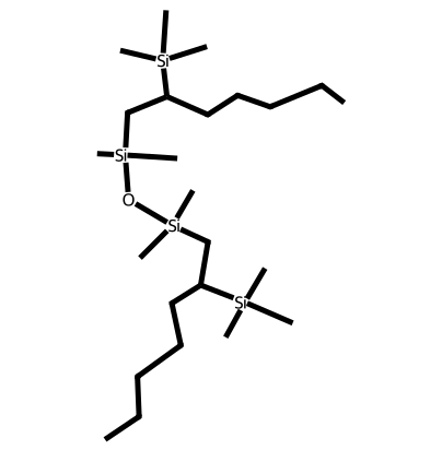 CCCCCC(C[Si](C)(C)O[Si](C)(C)CC(CCCCC)[Si](C)(C)C)[Si](C)(C)C